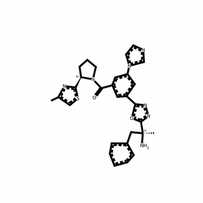 Cc1csc([C@H]2CCCN2C(=O)c2cc(-c3nnc([C@@](C)(N)Cc4ccccc4)o3)cc(-n3ccnc3)c2)n1